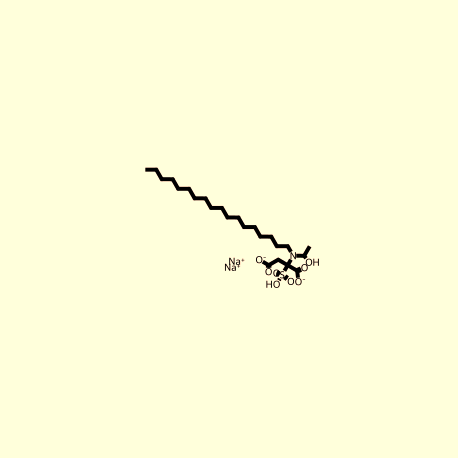 CCCCCCCCCCCCCCCCCCN(C(C)O)C(CC(=O)[O-])(C(=O)[O-])S(=O)(=O)O.[Na+].[Na+]